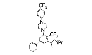 CC(C)CC(C)c1cc(-c2ccccc2)cc(N2CCN(c3ccc(C(F)(F)F)cc3)CC2)c1C(F)(F)F